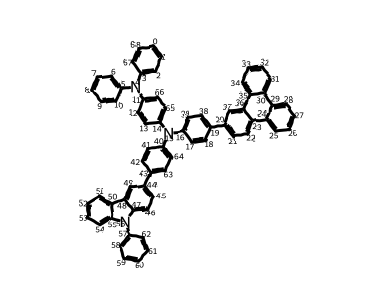 c1ccc(N(c2ccccc2)c2ccc(N(c3ccc(-c4ccc5c6ccccc6c6ccccc6c5c4)cc3)c3ccc(-c4ccc5c(c4)c4ccccc4n5-c4ccccc4)cc3)cc2)cc1